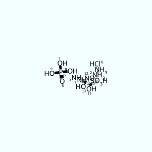 Cl.N.N.N.N.O=P(O)(O)O.O=S(=O)(O)O.O=[N+]([O-])O